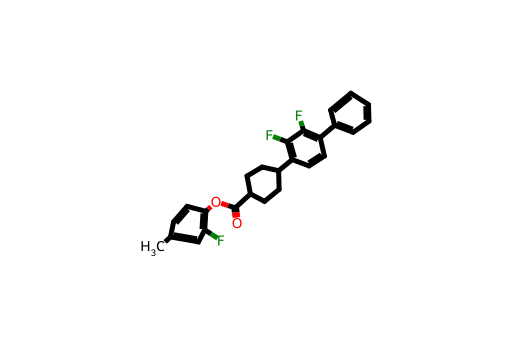 Cc1ccc(OC(=O)C2CCC(c3ccc(-c4ccccc4)c(F)c3F)CC2)c(F)c1